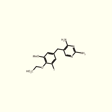 COc1cc(Cc2cnc(N)nc2N)cc(I)c1OCC(=O)O